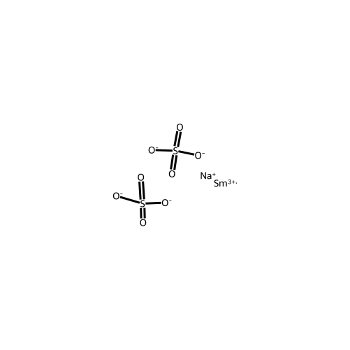 O=S(=O)([O-])[O-].O=S(=O)([O-])[O-].[Na+].[Sm+3]